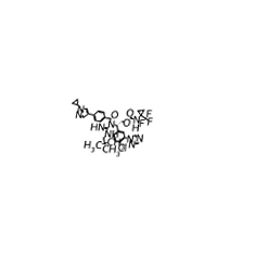 CC(C)(C)CNC(=N)N(C(=O)c1ccc(-c2cnn(C3CC3)c2)cc1)[C@H](COC(=O)NC1(C(F)(F)F)CC1)c1ccc(Cl)c(-n2cncn2)c1